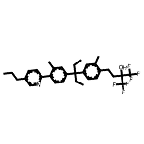 CCCc1ccc(-c2ccc(C(CC)(CC)c3ccc(CCC(O)(C(F)(F)F)C(F)(F)F)c(C)c3)cc2C)nc1